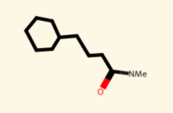 CNC(=O)CCCC1CCCCC1